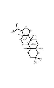 CC[C@@]1(O)CC[C@H]2[C@@H](CC[C@@H]3[C@@H]2CC[C@]2(C)C(C(C)O)CC[C@@H]32)C1